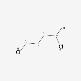 CC(Cl)CC[CH]Cl